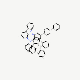 c1ccc(-c2ccc(-c3cccc(-n4c5ccccc5c5cccc(-n6c7ccccc7c7c([Si](c8ccccc8)(c8ccccc8)c8ccccc8)cccc76)c54)c3)cc2)cc1